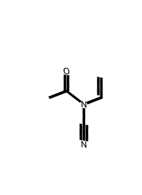 C=CN(C#N)C(C)=O